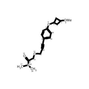 COC1CC(Oc2ccc(C#CCOCC(=O)N(C)C)cc2)C1